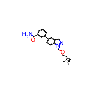 C[Si](C)(C)CCOCn1ncc2cc(-c3cccc(C(N)=O)c3)ccc21